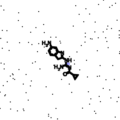 N/C(=N\C(=O)C1CC1)NC1=Nc2cc(N)ccc2C1